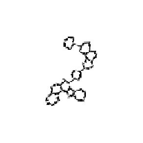 c1ccc(-c2ccc3ccc4ccc(-c5ccc(-c6nc7ccc8ccccc8c7c7sc8ccccc8c67)cc5)nc4c3n2)cc1